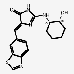 O=C1NC(N[C@H]2CCCC[C@H]2O)=N/C1=C\c1ccc2ncsc2c1